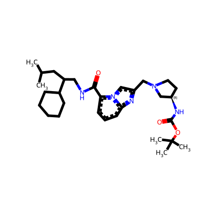 CC(C)CC(CNC(=O)c1cccc2nc(CN3CC[C@@H](NC(=O)OC(C)(C)C)C3)cn12)C1CCCCC1